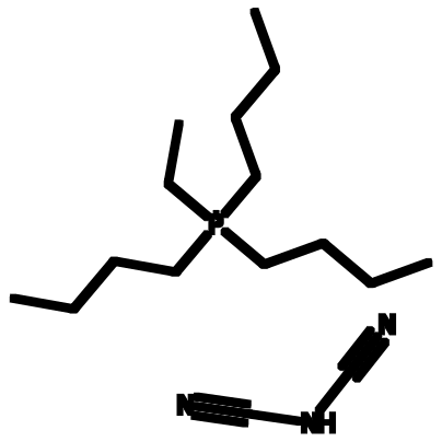 CCCC[P](CC)(CCCC)CCCC.N#CNC#N